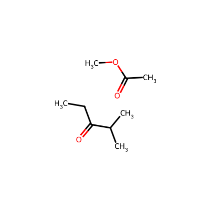 CCC(=O)C(C)C.COC(C)=O